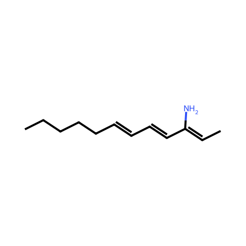 CC=C(N)C=CC=CCCCCC